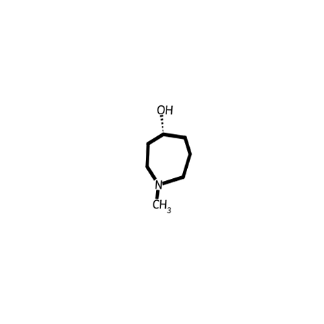 CN1CCC[C@@H](O)CC1